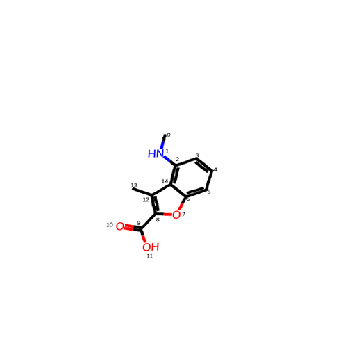 CNc1cccc2oc(C(=O)O)c(C)c12